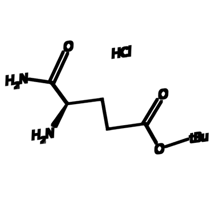 CC(C)(C)OC(=O)CC[C@@H](N)C(N)=O.Cl